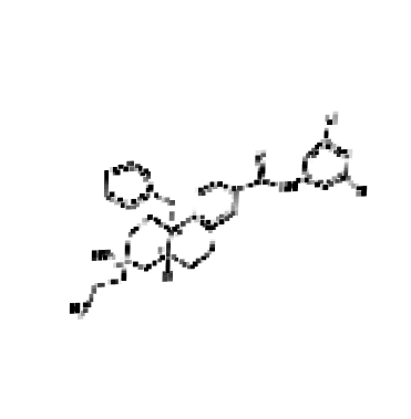 CCC[C@@]1(O)CC[C@@]2(Cc3ccccc3)c3ccc(C(=O)Nc4cc(Cl)nc(Cl)c4)cc3CC[C@@H]2C1